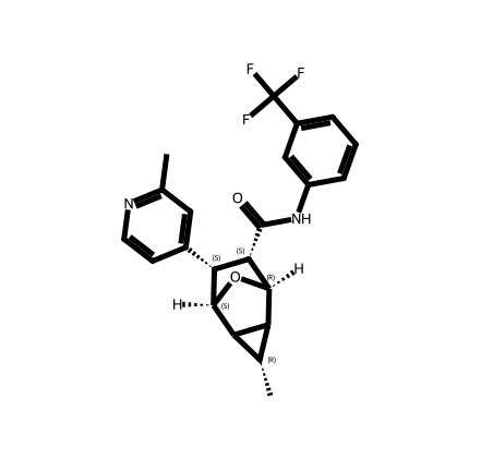 Cc1cc([C@@H]2[C@H](C(=O)Nc3cccc(C(F)(F)F)c3)[C@@H]3O[C@H]2C2C3[C@@H]2C)ccn1